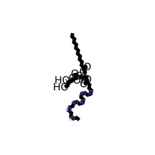 CC/C=C\C/C=C\C/C=C\C/C=C\C/C=C\C/C=C\CCC(=O)O[C@H](COC(=O)CCCCCCCCCCCC)COP(=O)(O)OC[C@@H](O)CO